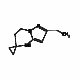 CCc1cc2n(n1)CCC1(CC1)N2